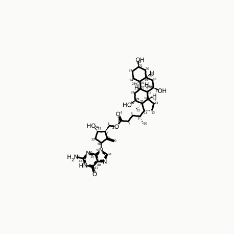 C=C1[C@H](COC(=O)CC[C@@H](C)[C@H]2CC[C@H]3[C@@H]4[C@H](O)C[C@@H]5C[C@H](O)CC[C@]5(C)[C@H]4C[C@H](O)[C@]23C)[C@@H](O)C[C@@H]1n1cnc2c(=O)[nH]c(N)nc21